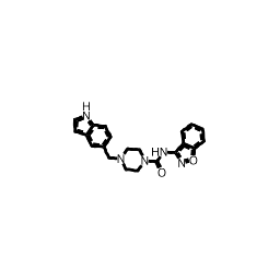 O=C(Nc1noc2ccccc12)N1CCN(Cc2ccc3[nH]ccc3c2)CC1